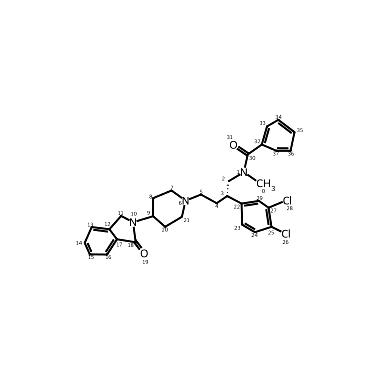 CN(C[C@@H](CCN1CCC(N2Cc3ccccc3C2=O)CC1)c1ccc(Cl)c(Cl)c1)C(=O)c1ccccc1